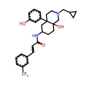 O=C(/C=C/c1cccc(C(F)(F)F)c1)NC1CCC2(O)CN(CC3CC3)CCC2(c2cccc(O)c2)C1